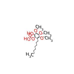 CCCCCCCCc1c(OC(=O)O)c(O)c(OCC)c(OCC)c1OCC